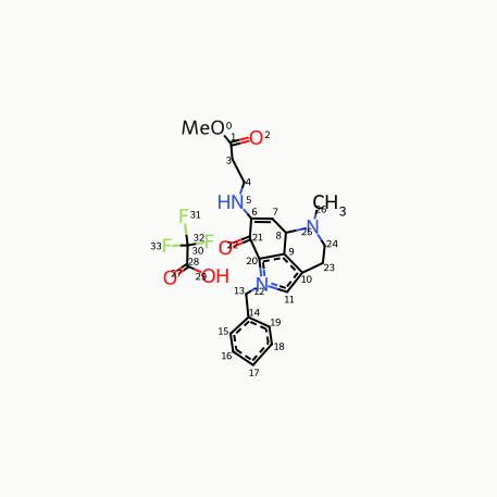 COC(=O)CCNC1=CC2c3c(cn(Cc4ccccc4)c3C1=O)CCN2C.O=C(O)C(F)(F)F